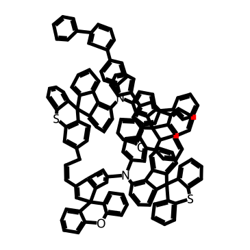 C1=CC2OC3=C(C=CCC3)C3(c4ccccc4-c4ccc(N(c5ccc(-c6cccc(-c7ccccc7)c6)cc5)c5cccc6c5-c5ccccc5C65c6ccccc6Sc6cc(C/C=C\C7=CC8(c9ccccc9Oc9ccccc98)c8cc(N(c9ccc(C%10=CC(c%11ccccc%11)CC(c%11ccccc%11)=C%10)cc9)c9cccc%10c9-c9ccccc9C%109c%10ccccc%10Sc%10ccccc%109)ccc87)ccc65)cc43)C2C=C1